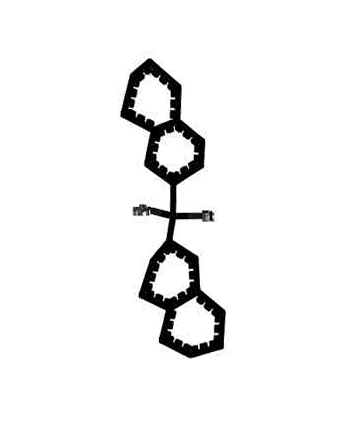 [CH2]CCC(CC)(c1ccc2ccccc2c1)c1ccc2ccccc2c1